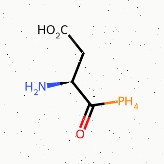 N[C@@H](CC(=O)O)C(=O)[PH4]